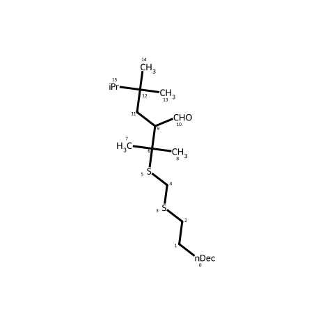 CCCCCCCCCCCCSCSC(C)(C)C(C=O)CC(C)(C)C(C)C